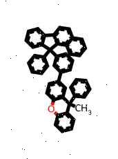 CC1(c2ccccc2)c2ccccc2Oc2ccc(-c3cccc(C4(c5ccccc5)c5ccccc5-c5ccc6ccccc6c54)c3)cc21